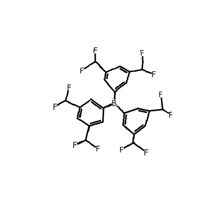 FC(F)c1cc(B(c2cc(C(F)F)cc(C(F)F)c2)c2cc(C(F)F)cc(C(F)F)c2)cc(C(F)F)c1